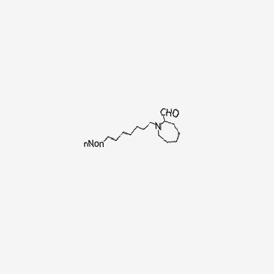 CCCCCCCCCCCCCCCCN1CCCCCC1C=O